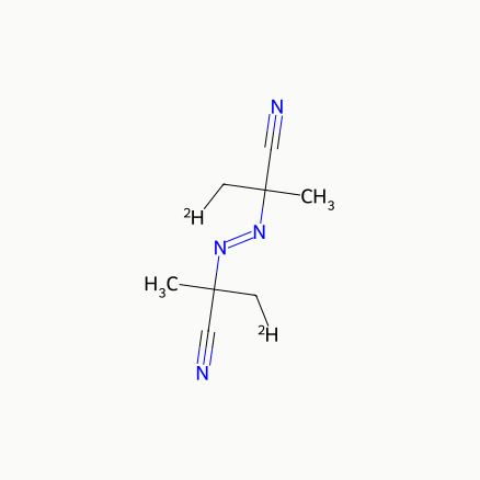 [2H]CC(C)(C#N)N=NC(C)(C#N)C[2H]